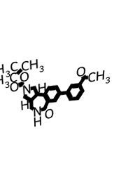 CC(=O)c1cccc(-c2ccc3c(c2)C(=O)NC[C@@H]2CN(C(=O)OC(C)(C)C)C[C@@H]32)c1